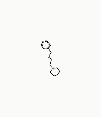 [CH]1CCN(CCOCc2ccccc2)CC1